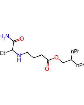 CCCC(CCC)COC(=O)CCCNC(CC)C(N)=O